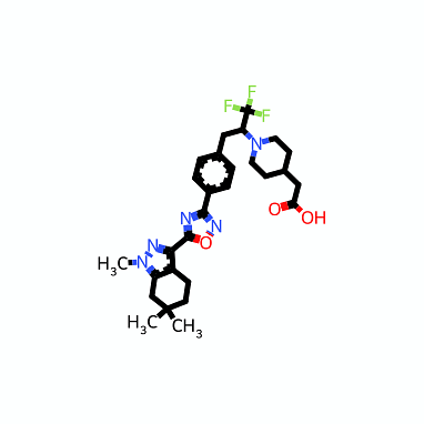 Cn1nc(-c2nc(-c3ccc(CC(N4CCC(CC(=O)O)CC4)C(F)(F)F)cc3)no2)c2c1CC(C)(C)CC2